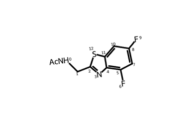 CC(=O)NCc1nc2c(F)cc(F)cc2s1